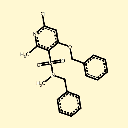 Cc1nc(Cl)cc(OCc2ccccc2)c1S(=O)(=O)N(C)Cc1ccccc1